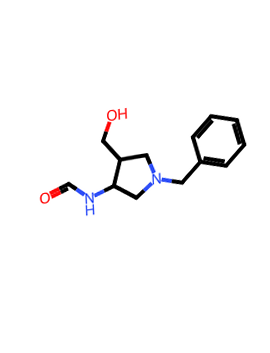 O=CNC1CN(Cc2ccccc2)CC1CO